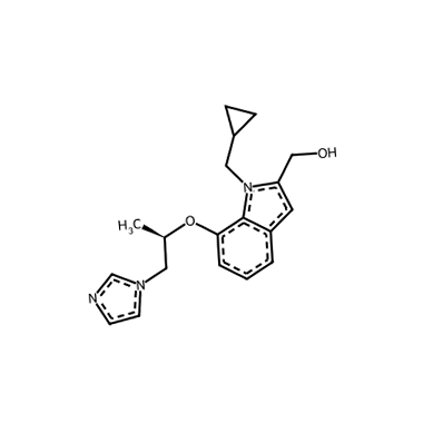 C[C@H](Cn1ccnc1)Oc1cccc2cc(CO)n(CC3CC3)c12